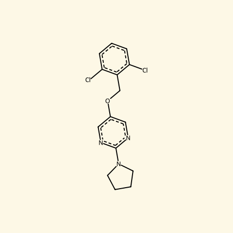 Clc1cccc(Cl)c1COc1cnc(N2CCCC2)nc1